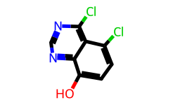 Oc1ccc(Cl)c2c(Cl)ncnc12